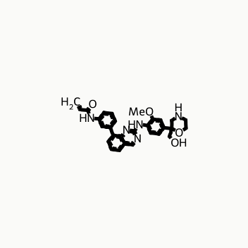 C=CC(=O)Nc1cccc(-c2cccc3cnc(Nc4ccc(C5(CO)CNCCO5)cc4OC)nc23)c1